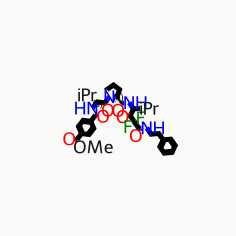 COC(=O)c1ccc(C(=O)N[C@H](C(=O)N2CCC[C@H]2C(=O)NC(C(=O)C(F)(F)C(=O)NCCc2ccccc2)C(C)C)C(C)C)cc1